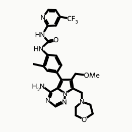 COCc1c(-c2ccc(NC(=O)Nc3cc(C(F)(F)F)ccn3)c(C)c2)c2c(N)ncnn2c1CN1CCOCC1